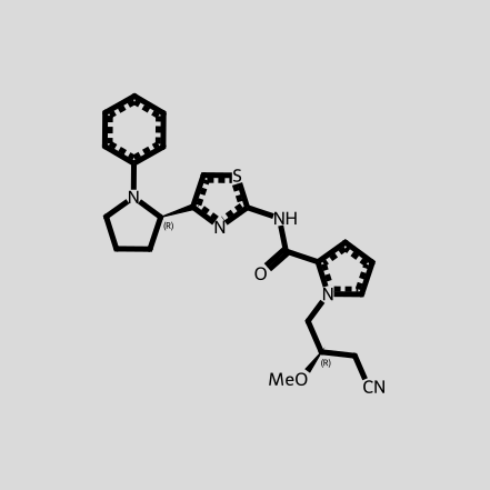 CO[C@H](CC#N)Cn1cccc1C(=O)Nc1nc([C@H]2CCCN2c2ccccc2)cs1